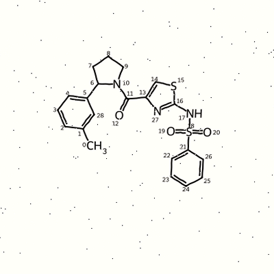 Cc1cccc(C2CCCN2C(=O)c2csc(NS(=O)(=O)c3ccccc3)n2)c1